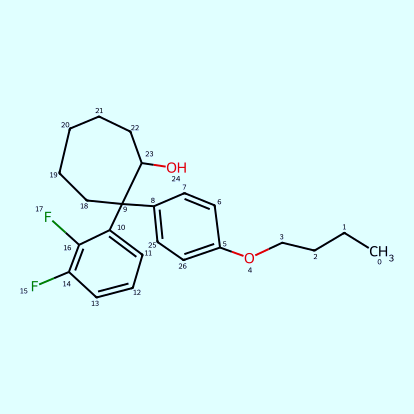 CCCCOc1ccc(C2(c3cccc(F)c3F)CCCCCC2O)cc1